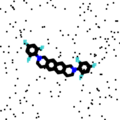 Fc1cc(F)c(N2CCc3cc4cc5c(cc4cc3C2)CN(c2c(F)cc(F)cc2F)CC5)c(F)c1